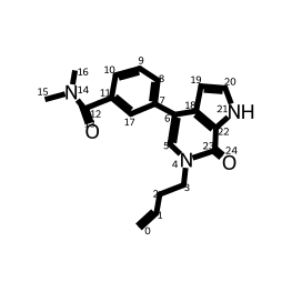 C=CCCn1cc(-c2cccc(C(=O)N(C)C)c2)c2cc[nH]c2c1=O